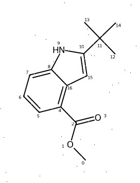 COC(=O)c1cccc2[nH]c(C(C)(C)C)cc12